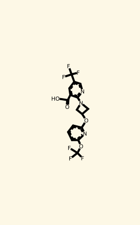 O=C(O)c1cc(C(F)(F)F)cnc1N1CC(Oc2cccc(OC(F)(F)F)n2)C1